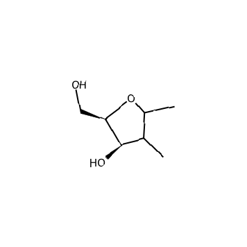 CC1O[C@H](CO)[C@H](O)C1C